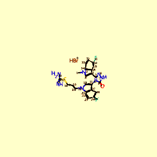 Br.Cn1cc(-c2n[nH]c(=O)n2-c2cn(CCCSC(=N)N)c3ccc(F)cc23)c2cc(F)ccc21